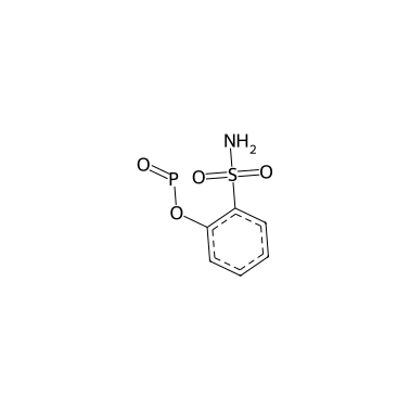 NS(=O)(=O)c1ccccc1OP=O